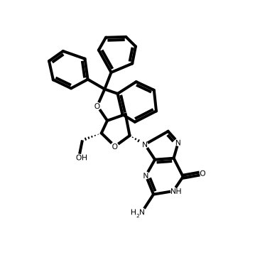 Nc1nc2c(ncn2[C@H]2CC(OC(c3ccccc3)(c3ccccc3)c3ccccc3)[C@@H](CO)O2)c(=O)[nH]1